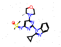 C[C@@H]1COCCN1c1cc(N=S(C)(C)=O)nc(-n2c(C3CC3)nc3ccccc32)n1